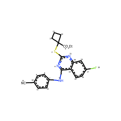 CCOC(=O)C1(Sc2nc(Nc3ccc(C#N)cc3)c3ccc(F)cc3n2)CCC1